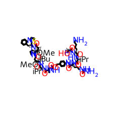 CC[C@H](C)[C@@H]([C@@H](CC(=O)N1CCC[C@H]1[C@H](OC)[C@@H](C)C(=O)N[C@@H](Cc1ccccc1)c1nccs1)OC)N(C)C(=O)[C@@H](NC(=O)C(C)(C)NC(=O)OCc1ccc(NC(=O)[C@H](CCCNC(N)=O)NC(=O)[C@@H](NC(=O)[C@H](CCCCN)NC(=O)[C@@H](C)O)C(C)C)cc1)C(C)C